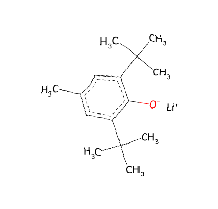 Cc1cc(C(C)(C)C)c([O-])c(C(C)(C)C)c1.[Li+]